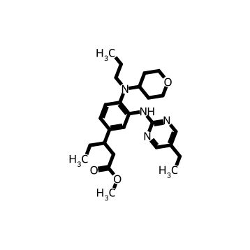 CCCN(c1ccc(C(CC)CC(=O)OC)cc1Nc1ncc(CC)cn1)C1CCOCC1